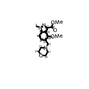 COC(=O)c1nn(C)c2ccc(CN3CCOCC3)c(OC)c12